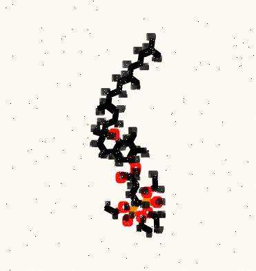 CCOP(=O)(OCC)C(CCC(=O)Oc1cc2c(c(C)c1C)OC(C)(CC/C=C(\C)CC/C=C(\C)CCC=C(C)C)CC2)P(=O)(OCC)OCC